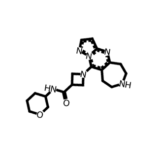 O=C(NC1CCCOC1)C1CN(c2c3c(nc4ccnn24)CCNCC3)C1